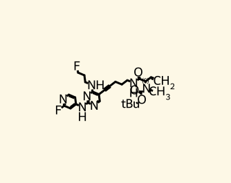 C=C[C@@H](C(=O)NCCCC#Cc1cnc(Nc2ccnc(F)c2)nc1NCCCF)N(C)C(=O)OC(C)(C)C